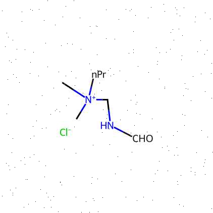 CCC[N+](C)(C)CNC=O.[Cl-]